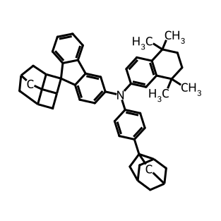 CC1(C)CCC(C)(C)c2cc(N(c3ccc(C45CC6CC(CC4C6)C5)cc3)c3ccc4c(c3)-c3ccccc3C43C4CC5CC6CC3C64C5)ccc21